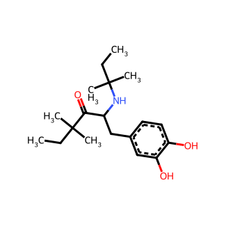 CCC(C)(C)NC(Cc1ccc(O)c(O)c1)C(=O)C(C)(C)CC